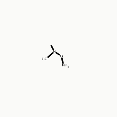 CN(O)ON